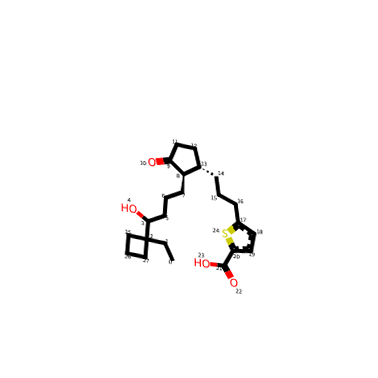 CCC1(C(O)CCC[C@H]2C(=O)CC[C@@H]2CCCc2ccc(C(=O)O)s2)CCC1